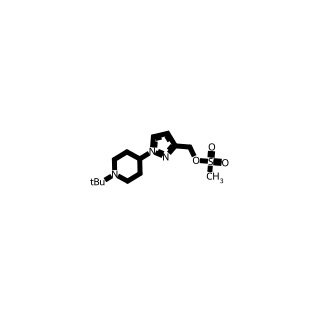 CC(C)(C)N1CCC(n2ccc(COS(C)(=O)=O)n2)CC1